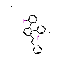 Ic1ccccc1-c1cccc(C=Cc2ccccc2)c1-c1ccccc1I